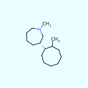 CC1CCCCCCC1[C@@H]1CCCCN(C)C1